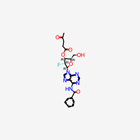 CC(=O)CCC(=O)O[C@H]1[C@@H](F)[C@H](n2cnc3c(NC(=O)c4ccccc4)ncnc32)O[C@@H]1CO